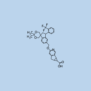 CC1(C)OCC2(CO1)CC(c1ccccc1C(F)(F)F)c1cc(COc3cc4c(cn3)C3C(C4)C3C(=O)O)ccc12